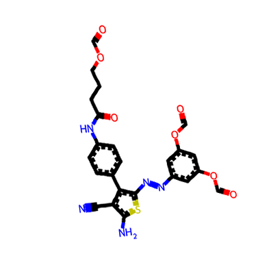 N#Cc1c(N)sc(N=Nc2cc(OC=O)cc(OC=O)c2)c1-c1ccc(NC(=O)CCCOC=O)cc1